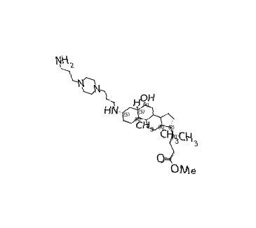 COC(=O)CC[C@@H](C)[C@H]1CCC2C3C[C@@H](O)[C@H]4C[C@@H](NCCCN5CCN(CCCN)CC5)CC[C@]4(C)C3CC[C@@]21C